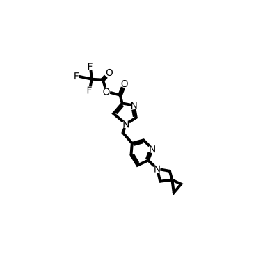 O=C(OC(=O)C(F)(F)F)c1cn(Cc2ccc(N3CC4(CC4)C3)nc2)cn1